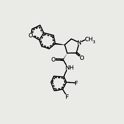 CN1C[C@H](c2ccc3occc3c2)[C@@H](C(=O)Nc2cccc(F)c2F)C1=O